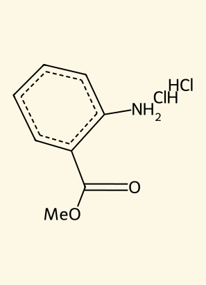 COC(=O)c1ccccc1N.Cl.Cl